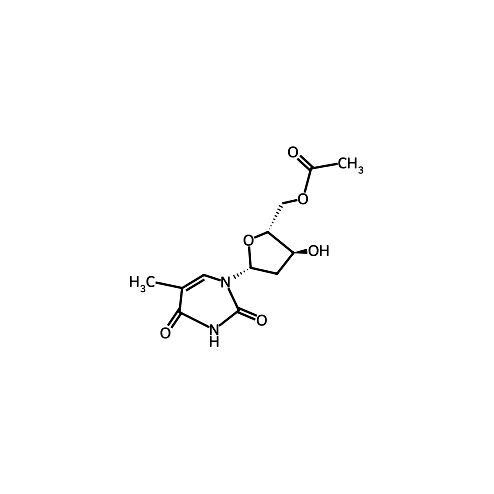 CC(=O)OC[C@H]1O[C@@H](n2cc(C)c(=O)[nH]c2=O)C[C@@H]1O